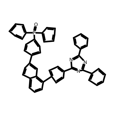 O=P(c1ccccc1)(c1ccccc1)c1ccc(-c2ccc3cccc(-c4ccc(-c5nc(-c6ccccc6)nc(-c6ccccc6)n5)cc4)c3c2)cc1